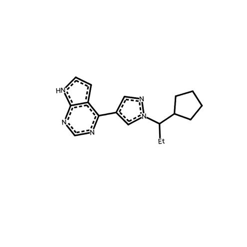 CCC(C1CCCC1)n1cc(-c2ncnc3[nH]ccc23)cn1